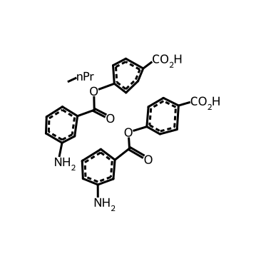 CCCC.Nc1cccc(C(=O)Oc2ccc(C(=O)O)cc2)c1.Nc1cccc(C(=O)Oc2ccc(C(=O)O)cc2)c1